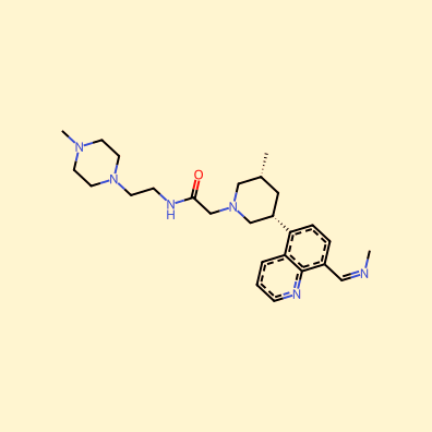 C/N=C\c1ccc([C@H]2C[C@@H](C)CN(CC(=O)NCCN3CCN(C)CC3)C2)c2cccnc12